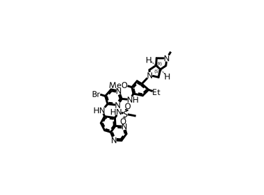 CCc1cc(Nc2ncc(Br)c(Nc3ccc4nccnc4c3NS(C)(=O)=O)n2)c(OC)cc1N1C[C@H]2CN(C)C[C@H]2C1